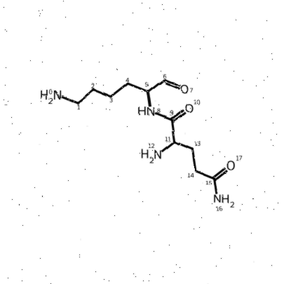 NCCCCC([C]=O)NC(=O)C(N)CCC(N)=O